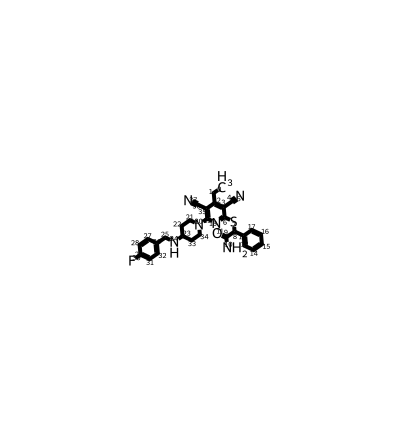 CCc1c(C#N)c(SC(C(N)=O)c2ccccc2)nc(N2CCC(NCc3ccc(F)cc3)CC2)c1C#N